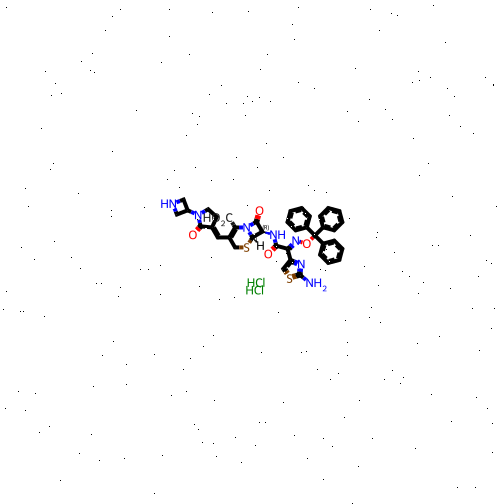 Cl.Cl.Nc1nc(C(=NOC(c2ccccc2)(c2ccccc2)c2ccccc2)C(=O)N[C@@H]2C(=O)N3C(C(=O)O)=C(C=C4CCN(C5CNC5)C4=O)CS[C@H]23)cs1